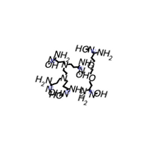 N/C(CCN(CC/C(N)=N\O)CCN(CC/C(N)=N\O)CC/C(N)=N\O)=N/O.N/C(CCOCCOCC/C(N)=N\O)=N/O